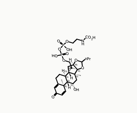 CCCC1O[C@@H]2C[C@H]3[C@@H]4CCC5=CC(=O)C=C[C@]5(C)[C@H]4[C@@H](O)C[C@]3(C)[C@]2(C(=O)COP(=O)(O)OP(=O)(O)OCCNC(=O)O)O1